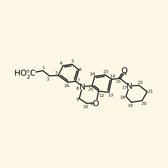 O=C(O)CCc1cccc(N2CCOc3cc(C(=O)N4CCCCC4)ccc32)c1